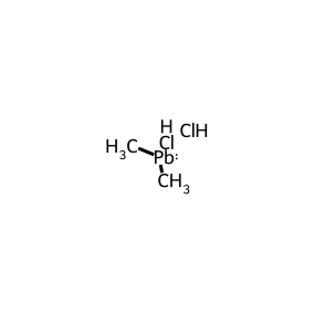 Cl.Cl.[CH3][Pb][CH3]